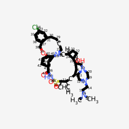 C[C@@H]1[C@@H](C)CCC[C@](O)(CN2CCN(CCN(C)C)CC2)[C@@H]2CC[C@H]2CN2CCCCc3cc(Cl)ccc3COc3ccc(cc32)C(=O)NS1(=O)=O